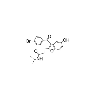 CC(C)NC(=O)CCc1oc2ccc(O)cc2c1C(=O)c1ccc(Br)cc1